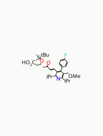 COCc1c(C(C)C)nc(C(C)C)c(/C=C/C(=O)C[C@H](CC(=O)O)O[Si](C)(C)C(C)(C)C)c1-c1ccc(F)cc1